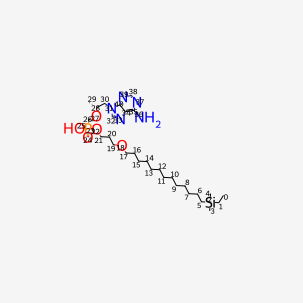 CC[Si](C)(C)CCCCCCCCCCCCCOCCCOP(=O)(O)CO[C@H](C)Cn1cnc2c(N)ncnc21